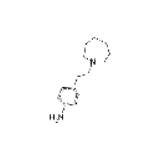 Nc1ccc(CCN2CCCCCC2)cc1